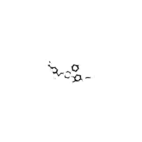 CCNC(=O)c1ccc([C@](C)(O)CN2CCN(c3ccc(OCCO)cc3Cl)[C@H](c3ccc(Cl)cc3)C2)cn1